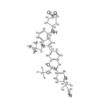 CC(C)(C)OC(=O)N(Cc1ccc(-c2cc3c(NC4CCS(=O)(=O)CC4)cccc3n2CC(F)(F)F)cc1)c1ccc(C(C)(C)C#N)nc1